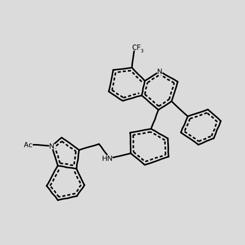 CC(=O)n1cc(CNc2cccc(-c3c(-c4ccccc4)cnc4c(C(F)(F)F)cccc34)c2)c2ccccc21